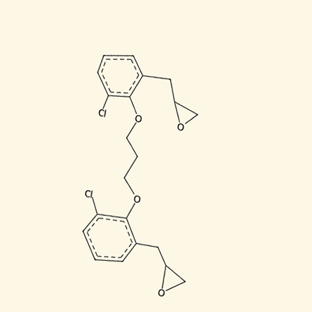 Clc1cccc(CC2CO2)c1OCCCOc1c(Cl)cccc1CC1CO1